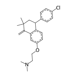 C=C1c2cc(OCCN(C)C)ccc2C(c2ccc(Cl)cc2)CC1(C)C